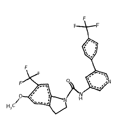 COc1cc2c(cc1C(F)(F)F)N(C(=O)Nc1cncc(-c3ccc(C(F)(F)F)cc3)c1)CC2